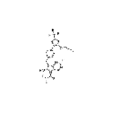 CCOc1cc(C(F)(F)F)nn1-c1ccc(Cn2c(=N)n(C(F)C(F)F)c3cnc(Cl)nc32)cc1